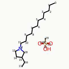 CCCCCCCCCCCCN1CCC(CC)C1.CS(=O)(=O)O